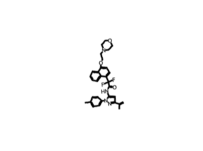 C=C(C)c1cc(NC(=O)C(F)(F)c2ccc(OCCN3CCOCC3)c3ccccc23)n(-c2ccc(C)cc2)n1